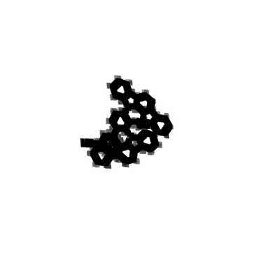 Cn1c2ccccc2c2ccc3c4ccccc4n(-c4ccc(-c5cccc(C#N)c5)c(-n5c6ccccc6c6ccc7c8ccccc8n(C)c7c65)c4C#N)c3c21